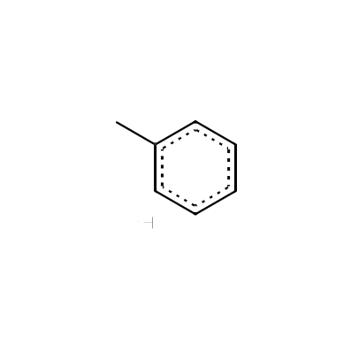 Cc1ccccc1.[2H]